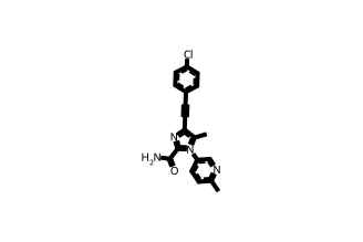 Cc1ccc(-n2c(C(N)=O)nc(C#Cc3ccc(Cl)cc3)c2C)cn1